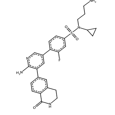 NCCCN(C1CC1)S(=O)(=O)c1ccc(-c2cnc(N)c(-c3ccc4c(c3)CCNC4=O)c2)c(F)c1